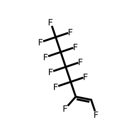 FC=C(F)C(F)(F)C(F)(F)C(F)(F)C(F)(F)F